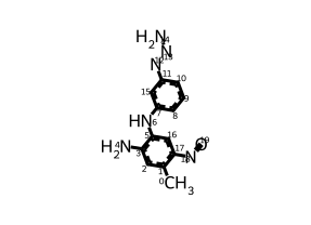 Cc1cc(N)c(Nc2cccc(N=NN)c2)cc1N=O